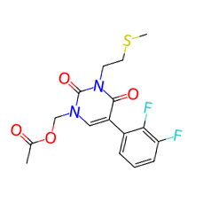 CSCCn1c(=O)c(-c2cccc(F)c2F)cn(COC(C)=O)c1=O